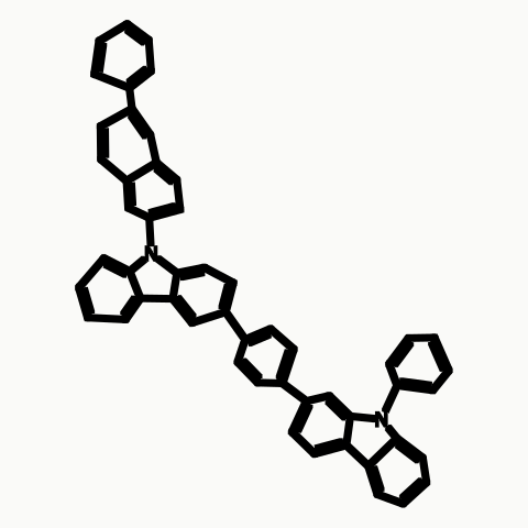 c1ccc(-c2ccc3cc(-n4c5ccccc5c5cc(-c6ccc(-c7ccc8c9ccccc9n(-c9ccccc9)c8c7)cc6)ccc54)ccc3c2)cc1